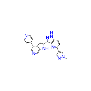 Cn1cc(-c2ccc3[nH]nc(-c4cc5c(-c6ccncc6)cncc5[nH]4)c3n2)cn1